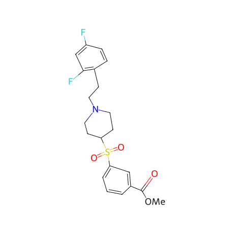 COC(=O)c1cccc(S(=O)(=O)C2CCN(CCc3ccc(F)cc3F)CC2)c1